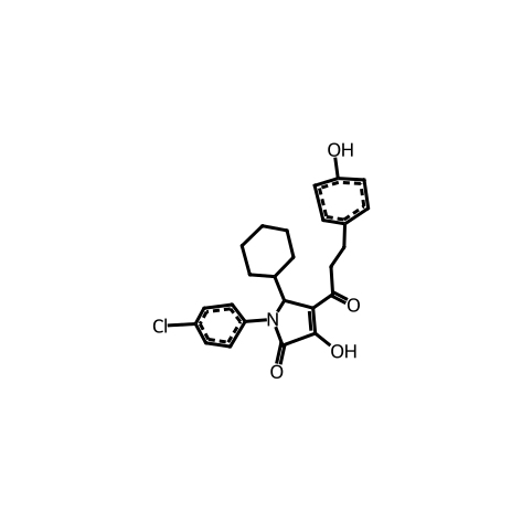 O=C(CCc1ccc(O)cc1)C1=C(O)C(=O)N(c2ccc(Cl)cc2)C1C1CCCCC1